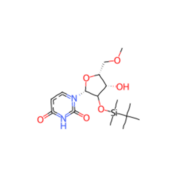 COC[C@H]1O[C@@H](n2ccc(=O)[nH]c2=O)C(O[Si](C)(C)C(C)(C)C)[C@H]1O